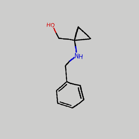 OCC1(NCc2ccccc2)CC1